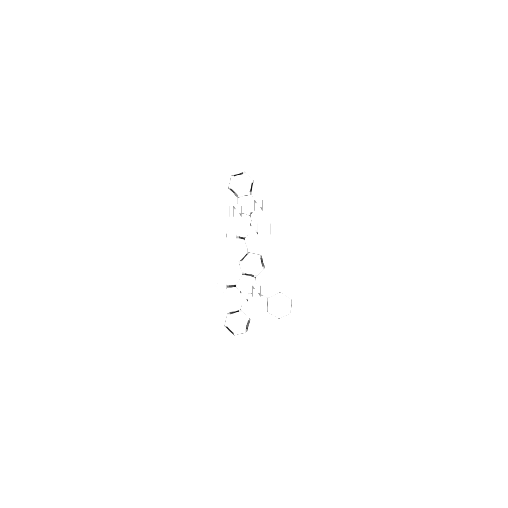 O=C(Nc1nc2ccccc2[nH]1)c1ccc2c(c1)c(=O)n(-c1ccccc1)n2C1CCCCC1